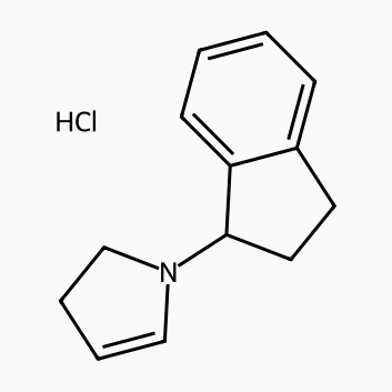 C1=CN(C2CCc3ccccc32)CC1.Cl